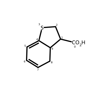 O=C(O)C1CSC2=CC=CCC21